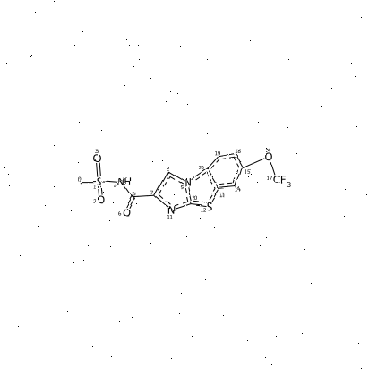 CS(=O)(=O)NC(=O)c1cn2c(n1)sc1cc(OC(F)(F)F)ccc12